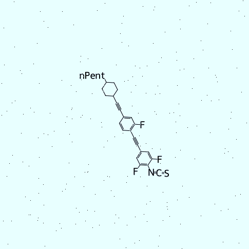 CCCCCC1CCC(C#Cc2ccc(C#Cc3cc(F)c(N=C=S)c(F)c3)c(F)c2)CC1